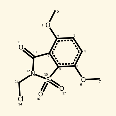 COc1ccc(OC)c2c1C(=O)N(CCl)S2(=O)=O